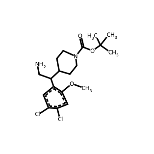 COc1cc(Cl)c(Cl)cc1C(CN)C1CCN(C(=O)OC(C)(C)C)CC1